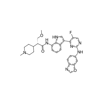 COC[C@H](C(=O)Nc1cccc2c(-c3nc(Nc4ccc5ncoc5c4)ncc3F)c[nH]c12)C1CCN(C)CC1